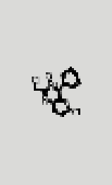 [O-][n+]1c(CCl)nc2ccc(Cl)nc2c1-c1ccccc1